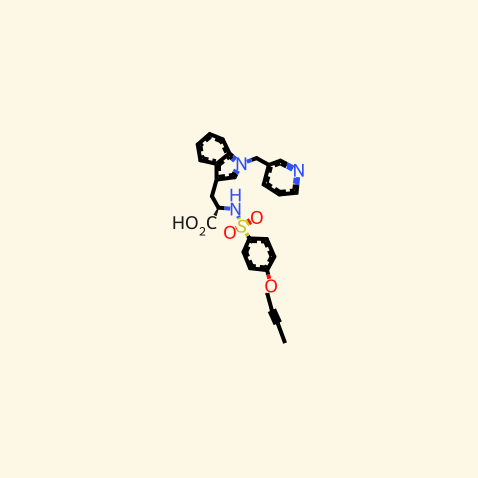 CC#CCOc1ccc(S(=O)(=O)N[C@H](Cc2cn(Cc3cccnc3)c3ccccc23)C(=O)O)cc1